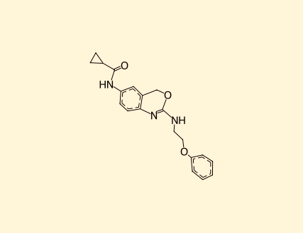 O=C(Nc1ccc2c(c1)COC(NCCOc1ccccc1)=N2)C1CC1